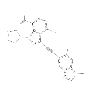 CCC(=O)c1cnc(N)c2c(C#Cc3cc4ncn(CC)c4cc3F)nn(C3CCNC3)c12